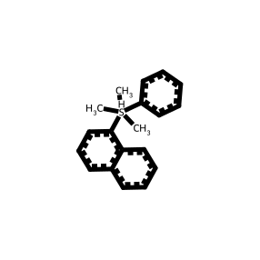 C[SH](C)(C)(c1ccccc1)c1cccc2ccccc12